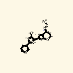 Cc1nc(-c2cccnc2)sc1-c1nc2c(s1)OCC/C2=N\OC(C)C